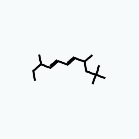 CCC(C)C=CC=CC(C)CC(C)(C)C